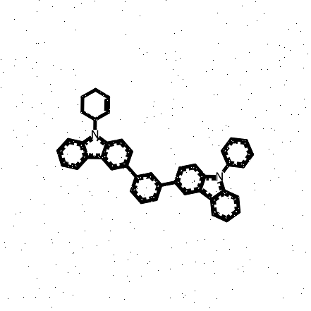 C1=CC(n2c3ccccc3c3cc(-c4cccc(-c5ccc6c(c5)c5ccccc5n6-c5ccccc5)c4)ccc32)CCC1